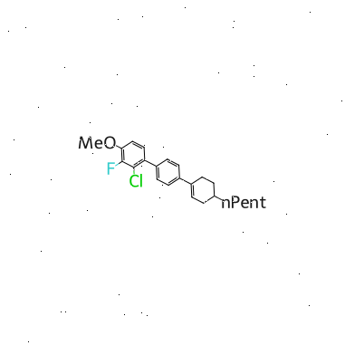 CCCCCC1CC=C(c2ccc(-c3ccc(OC)c(F)c3Cl)cc2)CC1